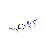 CCN(CC)CC(=O)NC1CCC(NC(=O)O)CC1